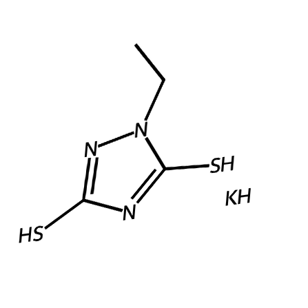 CCn1nc(S)nc1S.[KH]